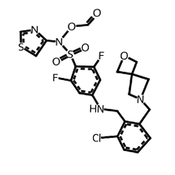 O=CON(c1cscn1)S(=O)(=O)c1c(F)cc(NCc2c(Cl)cccc2CN2CC3(COC3)C2)cc1F